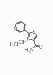 Cl.Cl.NC(=O)c1csc(-c2cccnc2)n1